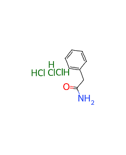 Cl.Cl.Cl.NC(=O)Cc1ccccc1